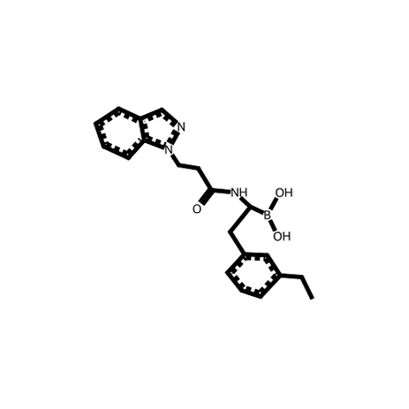 CCc1cccc(CC(NC(=O)CCn2ncc3ccccc32)B(O)O)c1